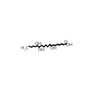 CCCCCC(O)C(O)CCCC/C=C(O)/C=C/C=C/C=C/C(=O)O